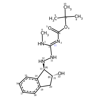 CN/C(=N\C(=O)OC(C)(C)C)NN[C@@H]1c2ccccc2C[C@H]1O